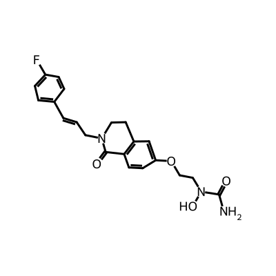 NC(=O)N(O)CCOc1ccc2c(c1)CCN(CC=Cc1ccc(F)cc1)C2=O